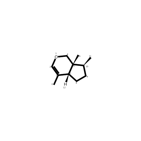 CC1=COC[C@@]2(C)[C@@H]1CC[C@@H]2C